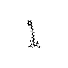 CN(C)C[C@@H](CC(=O)O)NC(=O)CCCCCOCCCc1ccccc1